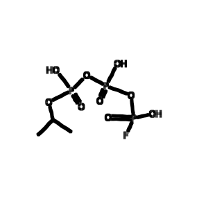 CC(C)OP(=O)(O)OP(=O)(O)OP(=O)(O)F